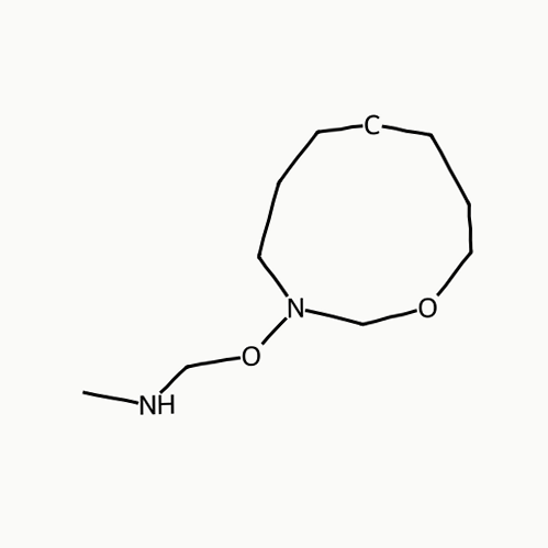 CNCON1CCCCCCCOC1